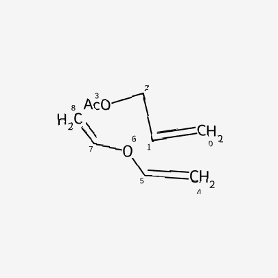 C=CCOC(C)=O.C=COC=C